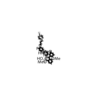 COCc1ccccc1C(c1cc(OC)ccc1OC)N(C(=O)O)c1ccnc(Nc2ccc(OCCCN3CCN(C)CC3)c(F)c2)n1